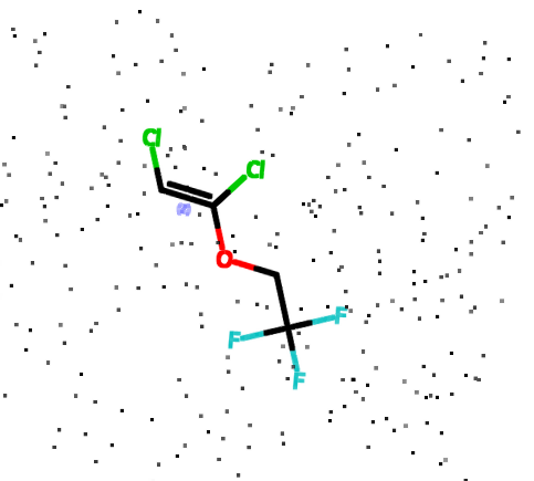 FC(F)(F)CO/C(Cl)=C/Cl